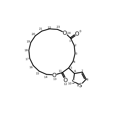 O=C1CCCC(C2C=CSS2)C(=O)OCCCCCCCCCCO1